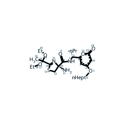 CCCCCCCOc1cc([C@@H](CCC)NC(=O)[C@]2(N)CSC(C(C)(OCC)OCC)=N2)oc(=O)c1